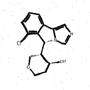 O[C@H]1CCOC[C@@H]1[C@@H]1c2c(Cl)cccc2-c2cncn21